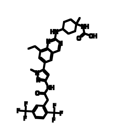 CCc1cc(-c2cc(NC(=O)Cc3cc(C(F)(F)F)ccc3C(F)(F)F)nn2C)cc2cnc(NC3CCC(C)(NC(=O)O)CC3)nc12